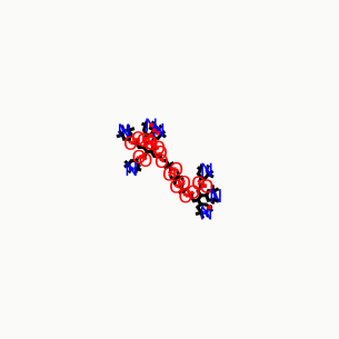 CN1C(C)(C)CC(OC(=O)CC(C(=O)OC2CC(C)(C)N(C)C(C)(C)C2)C(C(=O)OC2CC(C)(C)N(C)C(C)(C)C2)C(CC(=O)OCC(C)(C)C2OCC3(CO2)COC(C(C)(C)OC(=O)CC(C2CC(C)(C)N(C)C(C)(C)C2)C(CC(=O)OC2CC(C)(C)N(C)C(C)(C)C2)C2CC(C)(C)N(C)C(C)(C)C2)OC3)C(=O)OC2CC(C)(C)N(C)C(C)(C)C2)CC1(C)C